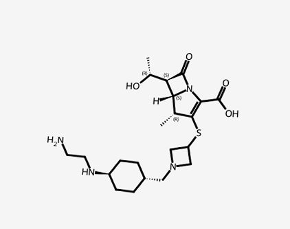 C[C@@H](O)[C@H]1C(=O)N2C(C(=O)O)=C(SC3CN(C[C@H]4CC[C@H](NCCN)CC4)C3)[C@H](C)[C@H]12